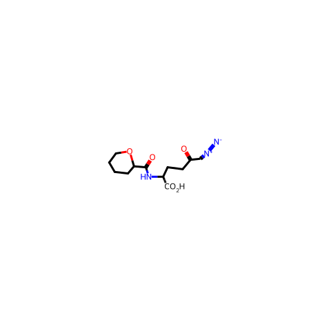 [N-]=[N+]=CC(=O)CCC(NC(=O)C1CCCCO1)C(=O)O